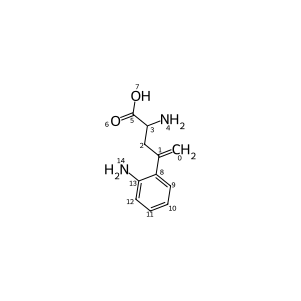 C=C(CC(N)C(=O)O)c1ccccc1N